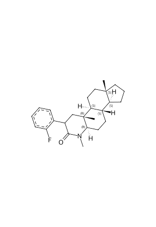 CN1C(=O)C(c2ccccc2F)C[C@]2(C)[C@H]3CC[C@]4(C)CCC[C@H]4[C@@H]3CC[C@@H]12